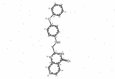 O=c1[nH]c(CNc2ccc(Oc3ccccc3)cc2)nc2cnccc12